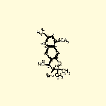 Cc1cc(C)c2cc3c(cc2n1)C(O)C(Br)C(C)(C)O3